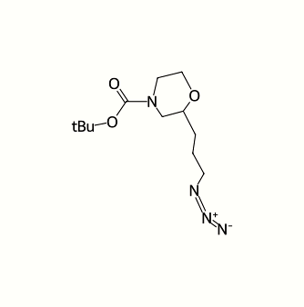 CC(C)(C)OC(=O)N1CCOC(CCCN=[N+]=[N-])C1